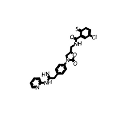 N=C(Cc1ccc(N2CC(CNC(=O)C3=CC(Cl)=CCC3=S)OC2=O)cc1)Nc1ccccn1